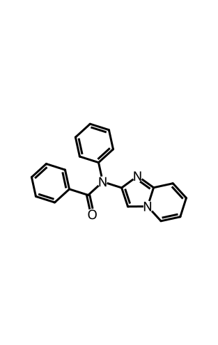 O=C(c1ccccc1)N(c1ccccc1)c1cn2ccccc2n1